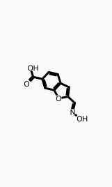 O=C(O)c1ccc2cc(C=NO)oc2c1